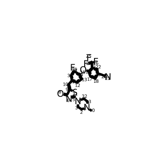 CN1CCN(C2=NC(=O)C(=Cc3ccc(Oc4ccc(C#N)cc4C(F)(F)F)c(F)c3)S2)CC1